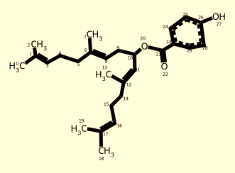 CC(C)=CCC/C(C)=C/CC(/C=C(\C)CCC=C(C)C)OC(=O)c1ccc(O)cc1